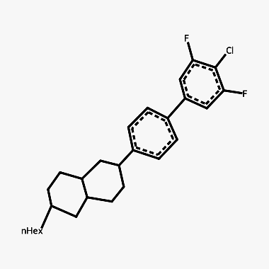 CCCCCCC1CCC2CC(c3ccc(-c4cc(F)c(Cl)c(F)c4)cc3)CCC2C1